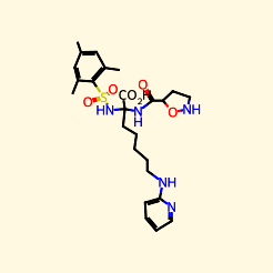 Cc1cc(C)c(S(=O)(=O)NC(CCCCCNc2ccccn2)(NC(=O)C2CCNO2)C(=O)O)c(C)c1